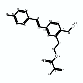 C=C(C)C(=O)OCCc1cc(/C=C/c2ccc(C)cc2)ccc1CO